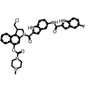 CN1CCN(C(=O)Oc2cc3c(c4ccccc24)C(CCl)CN3C(=O)c2cc3cc(NC(=O)c4cc5cc(F)ccc5[nH]4)ccc3[nH]2)CC1